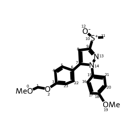 COCOc1ccc(-c2cc([S+](C)[O-])nn2-c2ccc(OC)cc2)cc1